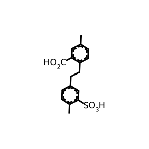 Cc1ccc(CCc2ccc(C)c(S(=O)(=O)O)c2)c(C(=O)O)c1